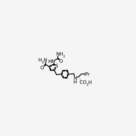 CC(C)C[C@@H](NCc1ccc(Cc2cc(C(N)=O)c(NC(N)=O)s2)cc1)C(=O)O